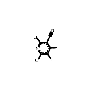 Cc1c(I)c(Cl)nc(Cl)c1C#N